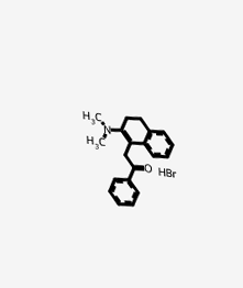 Br.CN(C)C1=C(CC(=O)c2ccccc2)c2ccccc2CC1